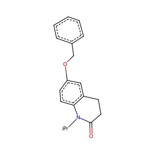 CC(C)N1C(=O)CCc2cc(OCc3ccccc3)ccc21